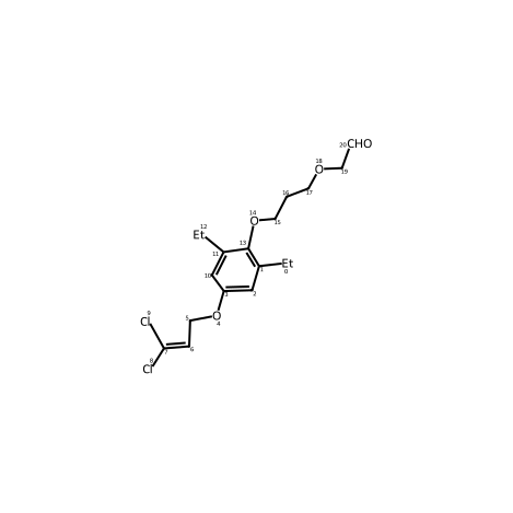 CCc1cc(OCC=C(Cl)Cl)cc(CC)c1OCCCOCC=O